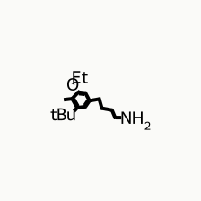 CCOc1cc(CCCCN)cc(C(C)(C)C)c1C